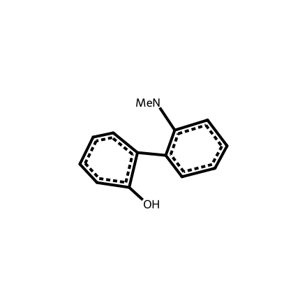 CNc1ccccc1-c1ccccc1O